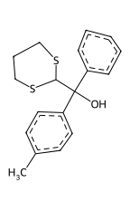 Cc1ccc(C(O)(c2ccccc2)C2SCCCS2)cc1